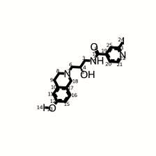 O=C(NC[C@@H](O)CN1CCc2cc(OI)ccc2C1)c1ccnc(I)c1